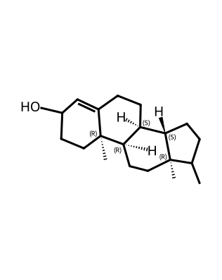 CC1CC[C@H]2[C@@H]3CCC4=CC(O)CC[C@]4(C)[C@@H]3CC[C@]12C